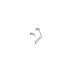 P.S=CS